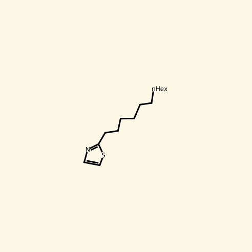 CCCCCCCCCCCCc1nccs1